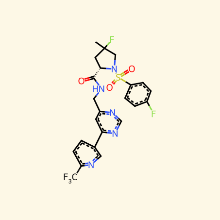 CC1(F)C[C@@H](C(=O)NCc2cc(-c3ccc(C(F)(F)F)nc3)ncn2)N(S(=O)(=O)c2ccc(F)cc2)C1